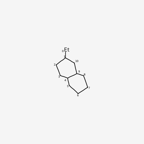 [CH2]CC1CCC2CCCCC2C1